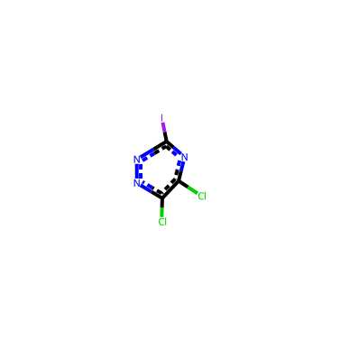 Clc1nnc(I)nc1Cl